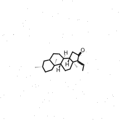 C/C=C1/C(=O)C[C@H]2[C@@H]3CCC4C[C@@H](C)CC[C@]4(C)[C@H]3CC[C@]12C